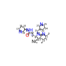 Cc1cc(C)c2c(C#N)c(/C=C/C(=O)Nc3cccnc3)n(Cc3cccnc3)c2n1